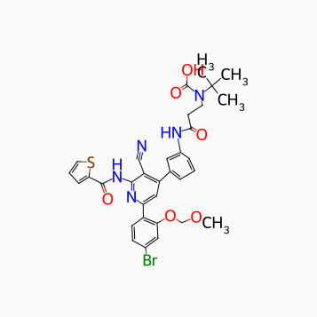 COCOc1cc(Br)ccc1-c1cc(-c2cccc(NC(=O)CCN(C(=O)O)C(C)(C)C)c2)c(C#N)c(NC(=O)c2cccs2)n1